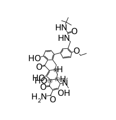 CCOc1ccc(-c2ccc(O)c3c2C[C@H]2C[C@H]4C(N(C)C)C(O)=C(C(N)=O)C(=O)[C@@]4(O)C(O)=C2C3=O)cc1CNC(=O)NC(C)(C)C